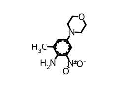 Cc1cc(N2CCOCC2)cc([N+](=O)[O-])c1N